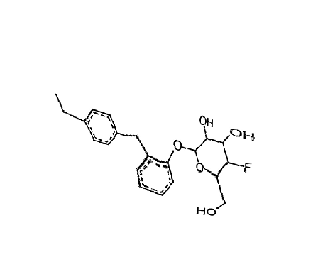 CCc1ccc(Cc2ccccc2OC2OC(CO)C(F)C(O)C2O)cc1